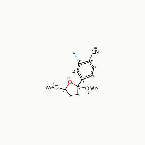 COC1CCC(OC)(c2ccc(C#N)c(F)c2)O1